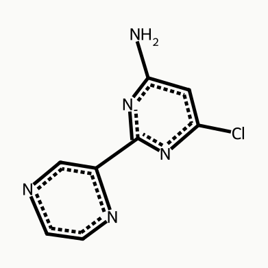 Nc1cc(Cl)nc(-c2cnccn2)n1